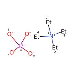 CC[N+](CC)(CC)CC.[O-][I+3]([O-])([O-])[O-]